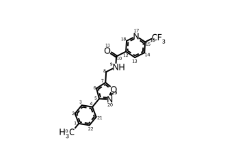 Cc1ccc(-c2cc(CNC(=O)c3ccc(C(F)(F)F)nc3)on2)cc1